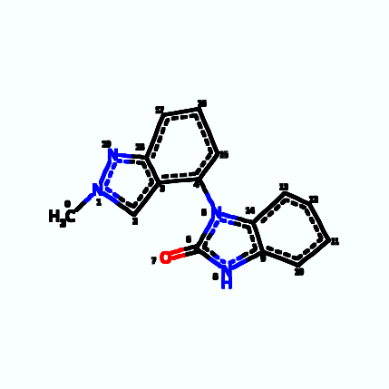 Cn1cc2c(-n3c(=O)[nH]c4ccccc43)cccc2n1